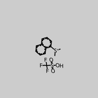 C[S+](C)c1cccc2ccccc12.O=S(=O)(O)C(F)(F)F